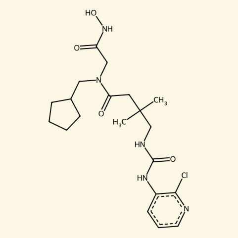 CC(C)(CNC(=O)Nc1cccnc1Cl)CC(=O)N(CC(=O)NO)CC1CCCC1